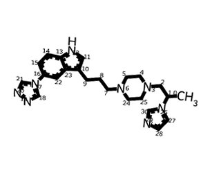 CC(CN1CCN(CCCc2c[nH]c3ccc(-n4cnnc4)cc23)CC1)n1ccnc1